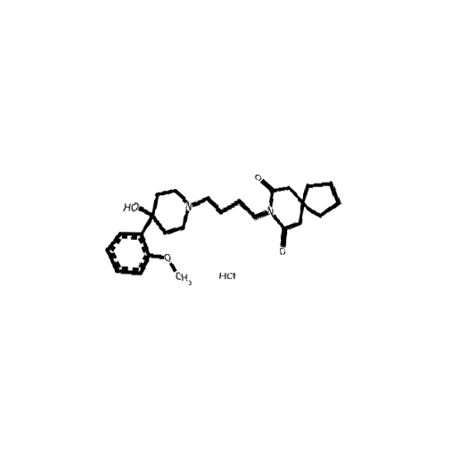 COc1ccccc1C1(O)CCN(CCCCN2C(=O)CC3(CCCC3)CC2=O)CC1.Cl